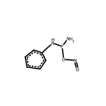 NP(Nc1ccccc1)ON=O